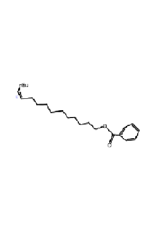 CCCC/C=C\CCCCCCCCCCOC(=O)c1ccccc1